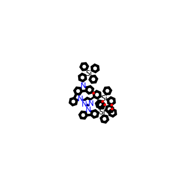 c1ccc(-c2cccc([Si](c3ccccc3)(c3ccccc3)c3cccc(-c4cc(-n5c6ccccc6c6ccc7c(c8ccccc8n7-c7cccc([Si](c8ccccc8)(c8ccccc8)c8ccccc8)c7)c65)nc(-n5c6ccccc6c6ccc([Si](c7ccccc7)(c7ccccc7)c7ccccc7)cc65)n4)c3)c2)cc1